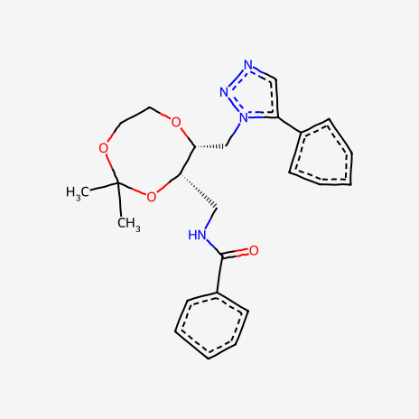 CC1(C)OCCO[C@H](Cn2nncc2-c2ccccc2)[C@H](CNC(=O)c2ccccc2)O1